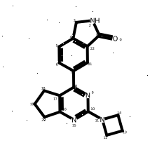 O=C1NCc2ccc(-c3nc(N4CCC4)nc4c3CCC4)cc21